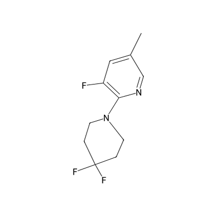 Cc1cnc(N2CCC(F)(F)CC2)c(F)c1